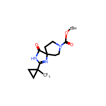 CC(C)(C)OC(=O)N1CCC2(CC1)N=C(C1(C(F)(F)F)CC1)NC2=O